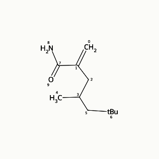 C=C(CC(C)CC(C)(C)C)C(N)=O